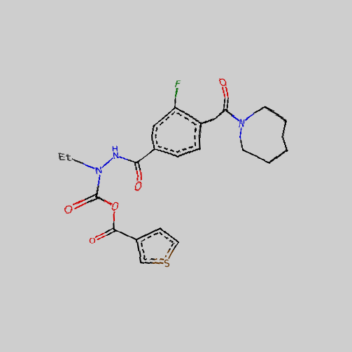 CCN(NC(=O)c1ccc(C(=O)N2CCCCC2)c(F)c1)C(=O)OC(=O)c1ccsc1